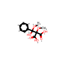 COC(C(=O)O)(C(=O)O)C(O)(OC)c1ccccc1